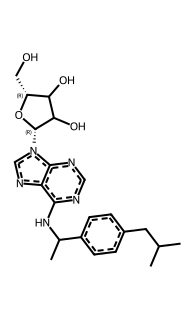 CC(C)Cc1ccc(C(C)Nc2ncnc3c2ncn3[C@@H]2O[C@H](CO)C(O)C2O)cc1